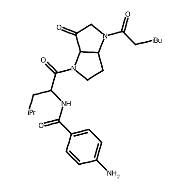 CCC(C)CC(=O)N1CC(=O)C2C1CCN2C(=O)C(CC(C)C)NC(=O)c1ccc(N)cc1